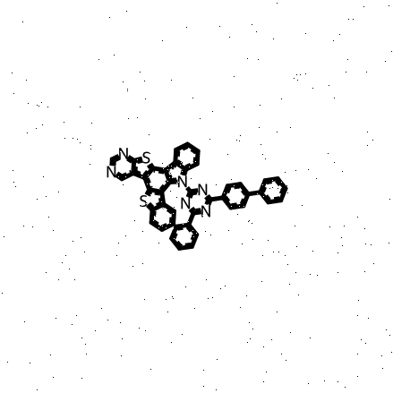 c1ccc(-c2ccc(-c3nc(-c4ccccc4)nc(-n4c5ccccc5c5c6sc7ncncc7c6c6sc7ccccc7c6c54)n3)cc2)cc1